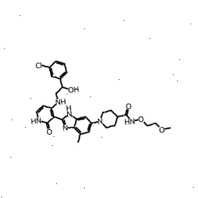 COCCONC(=O)C1CCN(c2cc(C)c3nc(-c4c(NCC(O)c5cccc(Cl)c5)cc[nH]c4=O)[nH]c3c2)CC1